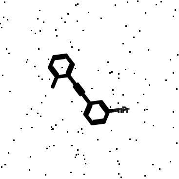 C[CH]Cc1cccc(C#Cc2ccccc2C)c1